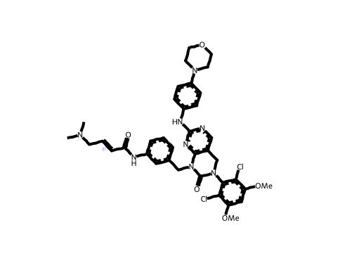 COc1cc(OC)c(Cl)c(N2Cc3cnc(Nc4ccc(N5CCOCC5)cc4)nc3N(Cc3cccc(NC(=O)/C=C/CN(C)C)c3)C2=O)c1Cl